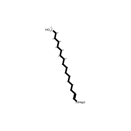 CCCCCCCC=CCCCCCCCCCCCCCCC(=O)O